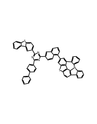 c1ccc(-c2ccc(-c3nc(-c4ccc5c(-c6cc7sc8ccc9c%10ccccc%10n%10c%11ccccc%11c(c6)c7c8c9%10)cccc5c4)nc(-c4ccc5sc6ccccc6c5c4)n3)cc2)cc1